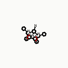 Cc1ccc2c(c1)c1cc(C)ccc1n2-c1c(-c2nc(-c3ccccc3)cc(-c3ccccc3)n2)cc(C#N)cc1-c1nc(-c2ccccc2)cc(-c2ccccc2)n1